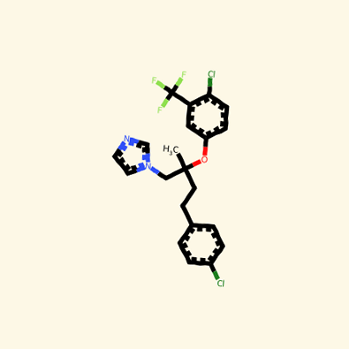 CC(CCc1ccc(Cl)cc1)(Cn1ccnc1)Oc1ccc(Cl)c(C(F)(F)F)c1